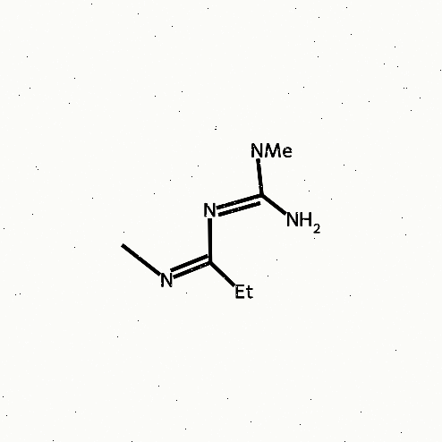 CCC(=N/C)/N=C(\N)NC